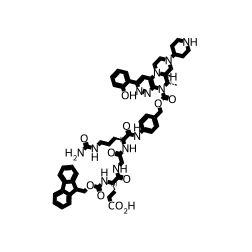 C[C@H]1[C@@H]2CN(C3CCNCC3)CCN2c2cc(-c3ccccc3O)nnc2N1C(=O)OCc1ccc(NC(=O)[C@H](CCCNC(N)=O)NC(=O)CNC(=O)[C@H](CCC(=O)O)NC(=O)OCC2c3ccccc3-c3ccccc32)cc1